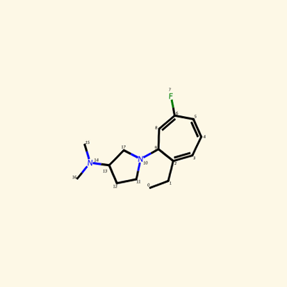 CCC1=CC=CC(F)=CC1N1CCC(N(C)C)C1